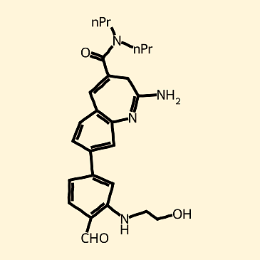 CCCN(CCC)C(=O)C1=Cc2ccc(-c3ccc(C=O)c(NCCO)c3)cc2N=C(N)C1